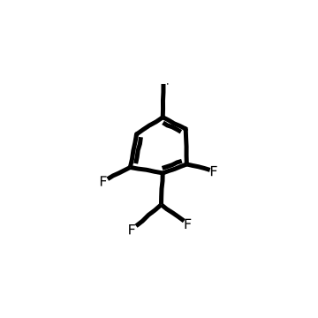 [CH2]c1cc(F)c(C(F)F)c(F)c1